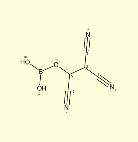 N#CC(C#N)C(C#N)OB(O)O